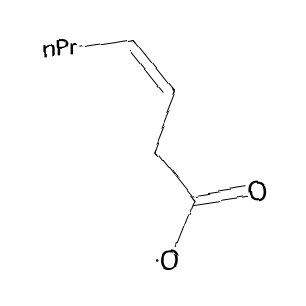 CCC/C=C\CC([O])=O